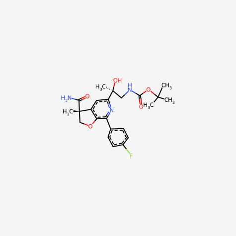 CC(C)(C)OC(=O)NC[C@](C)(O)c1cc2c(c(-c3ccc(F)cc3)n1)OC[C@]2(C)C(N)=O